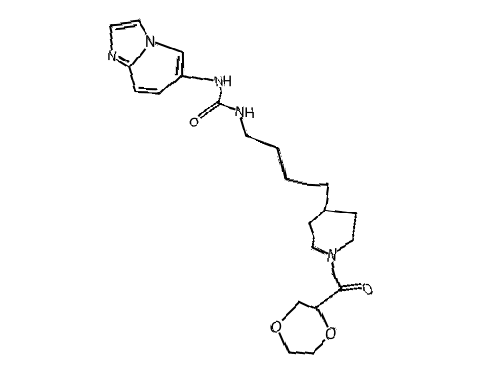 O=C(NCCCCC1CCN(C(=O)C2COCCO2)CC1)Nc1ccc2nccn2c1